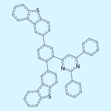 c1ccc(-c2cc(-c3cc(-c4ccc5sc6ccccc6c5c4)ccc3-c3ccc4sc5ccccc5c4c3)nc(-c3ccccc3)n2)cc1